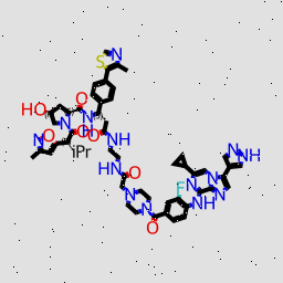 Cc1cc([C@H](C(=O)N2C[C@H](O)C[C@H]2C(=O)N[C@@H](CC(=O)NCCNC(=O)CN2CCN(C(=O)c3ccc(Nc4nc(C5CC5)cn5c(-c6cn[nH]c6)cnc45)c(F)c3)CC2)c2ccc(-c3scnc3C)cc2)C(C)C)on1